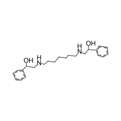 OC(CNCCCCCCCNCC(O)c1ccccc1)c1ccccc1